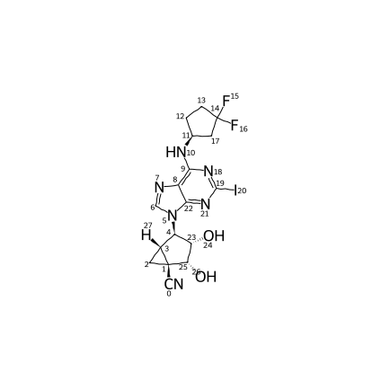 N#C[C@@]12C[C@@H]1[C@@H](n1cnc3c(N[C@H]4CCC(F)(F)C4)nc(I)nc31)[C@H](O)[C@@H]2O